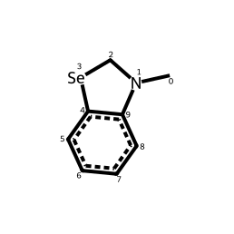 CN1C[Se]c2ccccc21